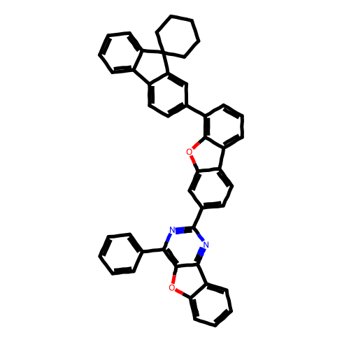 c1ccc(-c2nc(-c3ccc4c(c3)oc3c(-c5ccc6c(c5)C5(CCCCC5)c5ccccc5-6)cccc34)nc3c2oc2ccccc23)cc1